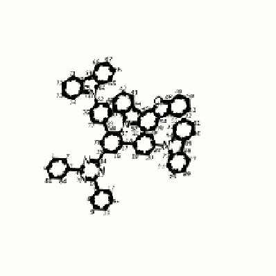 c1ccc(-c2nc(-c3ccccc3)nc(-c3cc(-c4ccc(-n5c6ccccc6c6ccccc65)cc4)c(-n4c5ccccc5c5c6oc7ccccc7c6ccc54)c(-c4ccc(-n5c6ccccc6c6ccccc65)cc4)c3)n2)cc1